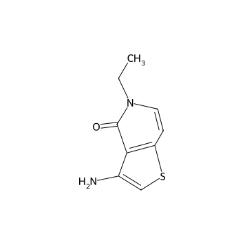 CCn1ccc2scc(N)c2c1=O